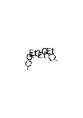 CCC(C)(Oc1ccc(C)cc1)c1ccc(OC(CC)(CC)c2ccc(C)cc2)cc1